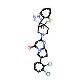 NC[C@]1(c2ccccc2F)[C@@H]2CCN(c3cc(=O)n4cc(-c5cccc(Cl)c5Cl)ccc4n3)C[C@@H]21